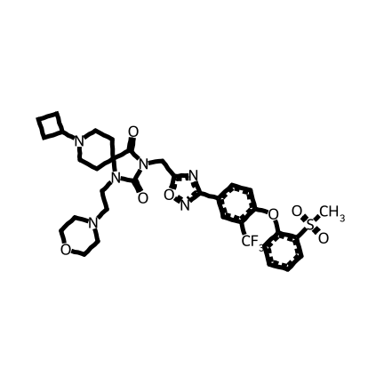 CS(=O)(=O)c1ccccc1Oc1ccc(-c2noc(CN3C(=O)N(CCN4CCOCC4)C4(CCN(C5CCC5)CC4)C3=O)n2)cc1C(F)(F)F